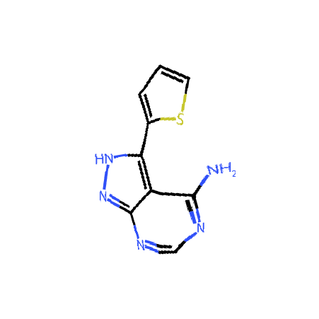 Nc1ncnc2n[nH]c(-c3cccs3)c12